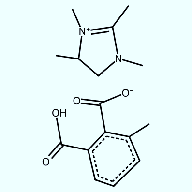 CC1=[N+](C)C(C)CN1C.Cc1cccc(C(=O)O)c1C(=O)[O-]